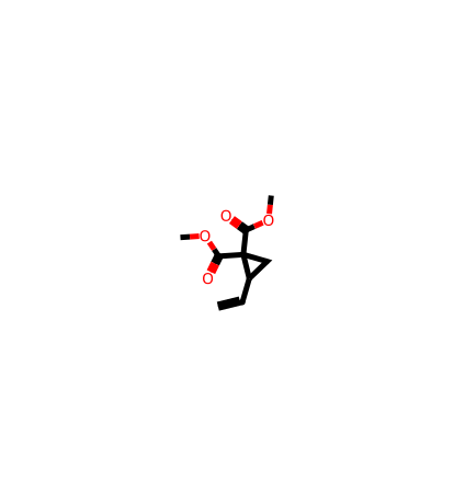 C=CC1CC1(C(=O)OC)C(=O)OC